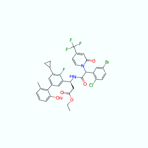 CCOC(=O)C[C@H](NC(=O)C(c1cc(Br)ccc1Cl)n1ccc(C(F)(F)F)cc1=O)c1cc(-c2c(C)cccc2O)cc(C2CC2)c1F